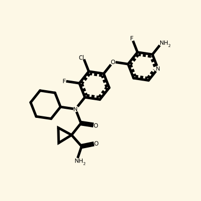 NC(=O)C1(C(=O)N(c2ccc(Oc3ccnc(N)c3F)c(Cl)c2F)C2CCCCC2)CC1